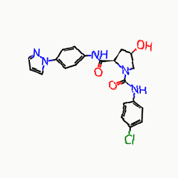 O=C(Nc1ccc(-n2cccn2)cc1)[C@H]1C[C@@H](O)CN1C(=O)Nc1ccc(Cl)cc1